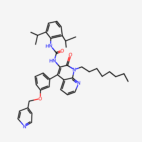 CCCCCCCCn1c(=O)c(NC(=O)Nc2c(C(C)C)cccc2C(C)C)c(-c2cccc(OCc3ccncc3)c2)c2cccnc21